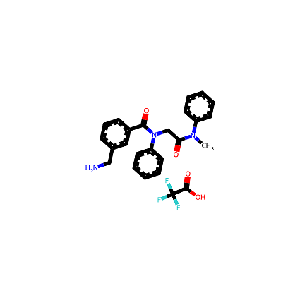 CN(C(=O)CN(C(=O)c1cccc(CN)c1)c1ccccc1)c1ccccc1.O=C(O)C(F)(F)F